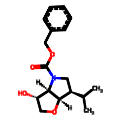 CC(C)[C@@H]1CN(C(=O)OCc2ccccc2)[C@H]2[C@@H]1OC[C@@H]2O